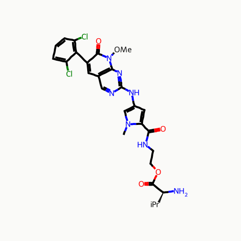 COn1c(=O)c(-c2c(Cl)cccc2Cl)cc2cnc(Nc3cc(C(=O)NCCOC(=O)[C@@H](N)C(C)C)n(C)c3)nc21